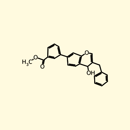 COC(=O)c1cccc(-c2ccc3c(c2)OC=C(Cc2ccccc2)C3O)c1